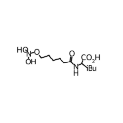 CCC(C)C(NC(=O)CCCCCON(O)O)C(=O)O